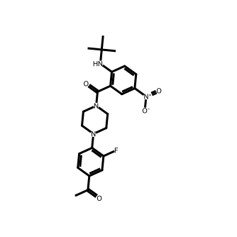 CC(=O)c1ccc(N2CCN(C(=O)c3cc([N+](=O)[O-])ccc3NC(C)(C)C)CC2)c(F)c1